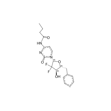 CCCC(=O)Nc1ccn([C@@H]2O[C@H](Cc3cc[c]cc3)[C@@H](O)C2(F)F)c(=O)n1